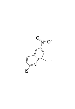 CCc1cc([N+](=O)[O-])cc2ccc(S)nc12